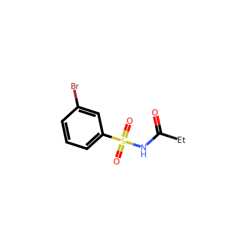 CCC(=O)NS(=O)(=O)c1cccc(Br)c1